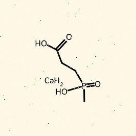 CP(=O)(O)CCC(=O)O.[CaH2]